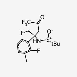 Cc1cccc([C@](CF)(CC(=O)C(F)(F)F)N[S+]([O-])C(C)(C)C)c1F